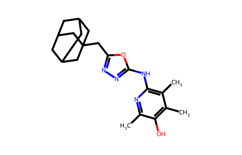 Cc1nc(Nc2nnc(CC34CC5CC(CC(C5)C3)C4)o2)c(C)c(C)c1O